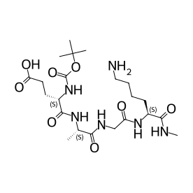 CNC(=O)[C@H](CCCCN)NC(=O)CNC(=O)[C@H](C)NC(=O)[C@H](CCC(=O)O)NC(=O)OC(C)(C)C